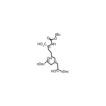 CCCCCCCCCC[C@@H](O)CN(CCCC[C@@H](NC(=O)OC(C)(C)C)C(=O)O)C[C@H](O)CCCCCCCCCC